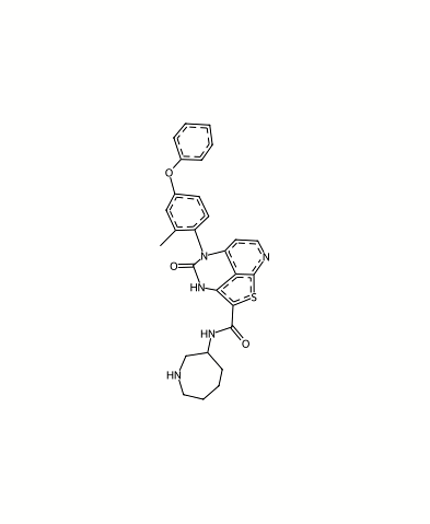 Cc1cc(Oc2ccccc2)ccc1N1C(=O)Nc2c(C(=O)NC3CCCCNC3)sc3nccc1c23